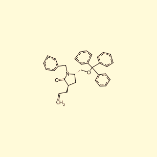 C=CC[C@@H]1C[C@@H](COC(c2ccccc2)(c2ccccc2)c2ccccc2)N(Cc2ccccc2)C1=O